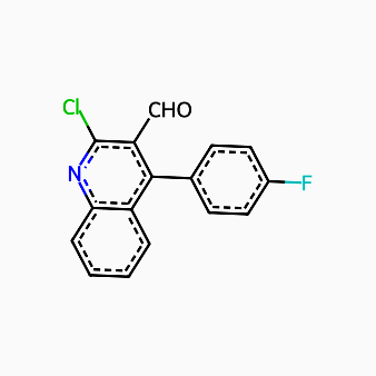 O=Cc1c(Cl)nc2ccccc2c1-c1ccc(F)cc1